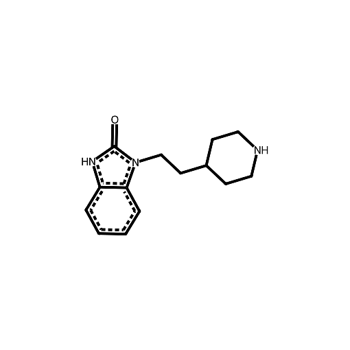 O=c1[nH]c2ccccc2n1CCC1CCNCC1